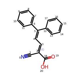 N#C/C(=C\C=C(c1ccccc1)c1ccccc1)C(=O)O